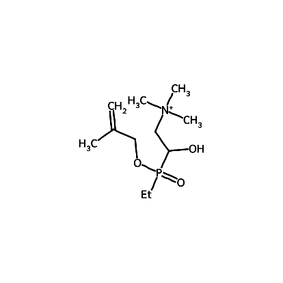 C=C(C)COP(=O)(CC)C(O)C[N+](C)(C)C